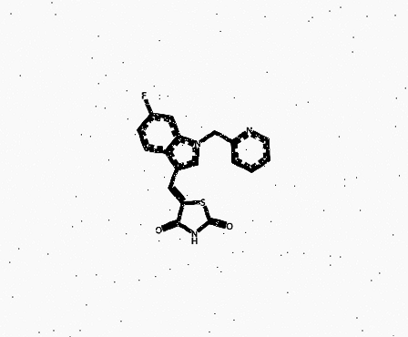 O=C1NC(=O)/C(=C/c2cn(Cc3ccccn3)c3cc(F)ccc23)S1